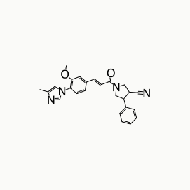 COc1cc(C=CC(=O)N2CC(C#N)C(c3ccccc3)C2)ccc1-n1cnc(C)c1